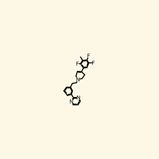 Cc1c(F)c(F)cc(C2=CCN(CCc3cccc(-c4ncccn4)c3)CC2)c1F